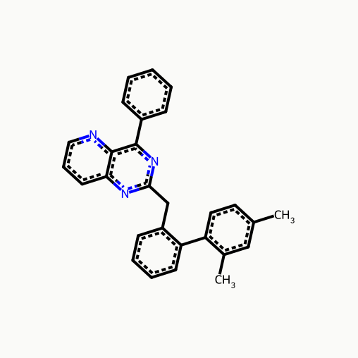 Cc1ccc(-c2ccccc2Cc2nc(-c3ccccc3)c3ncccc3n2)c(C)c1